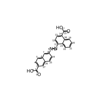 O=C(O)c1ccc2cc(/N=N/c3ccc(C(=O)O)c4ccccc34)ccc2c1